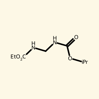 CCOC(=O)NCNC(=O)OC(C)C